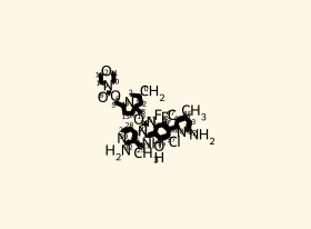 C=C1CN2C(COC(=O)N3CCOCC3)CCC2(COc2nc(NC(C)c3cccnc3N)c3c(O)c(Cl)c(-c4nc(N)cc(C)c4C(F)(F)F)c(F)c3n2)C1